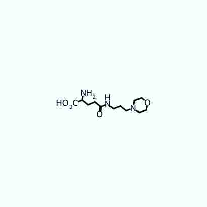 NC(CCC(=O)NCCCN1CCOCC1)C(=O)O